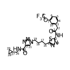 O=C(Cc1cccc(OC(F)(F)F)c1)Nc1nnc(CCCCn2cc(C(=O)NCC3CC3)nn2)s1